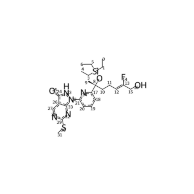 CC[Si](CC)(CC)O[C@](C)(CC/C=C(\F)CO)c1cccc(-n2[nH]c(=O)c3cnc(SC)nc32)n1